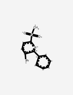 CC(C)c1ccc(S(C)(=O)=O)nc1-c1ccccc1